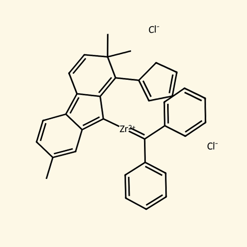 Cc1ccc2c(c1)=[C]([Zr+2]=[C](c1ccccc1)c1ccccc1)C1=C(C3=CC=CC3)C(C)(C)C=CC=21.[Cl-].[Cl-]